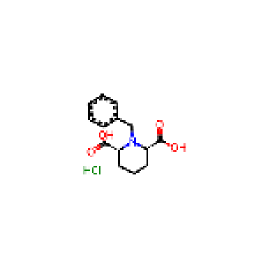 Cl.O=C(O)[C@H]1CCC[C@@H](C(=O)O)N1Cc1ccccc1